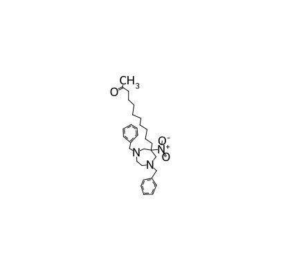 CC(=O)CCCCCCCCCC1([N+](=O)[O-])CN(Cc2ccccc2)CCN(Cc2ccccc2)C1